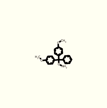 COc1ccc(C(ON)(c2ccccc2)c2ccc(OC)cc2)cc1